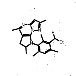 CCC(CC)c1c(C)cc(C)c(N2c3c(c(C)nc4cc(C)nn34)CC2C)c1C